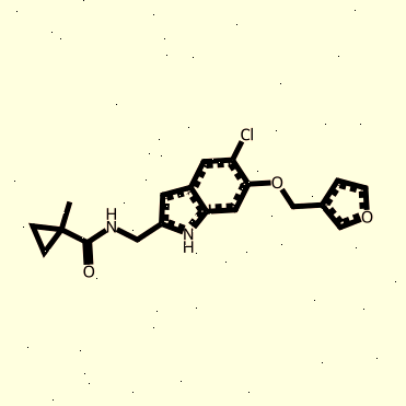 CC1(C(=O)NCc2cc3cc(Cl)c(OCc4ccoc4)cc3[nH]2)CC1